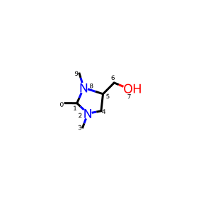 CC1N(C)CC(CO)N1C